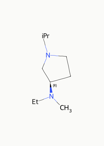 CCN(C)[C@@H]1CCN(C(C)C)C1